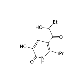 CCCc1[nH]c(=O)c(C#N)cc1C(=O)C(O)CC